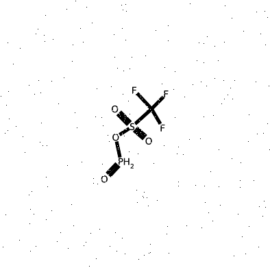 O=[PH2]OS(=O)(=O)C(F)(F)F